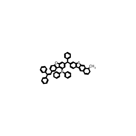 CC1CC=Cc2cc3c(cc21)sc1cc(C(c2ccccc2)c2cc(N(C4=CCCC=C4)c4ccccc4)c4c(c2)oc2ccc(C=C(c5ccccc5)c5ccccc5)cc24)ccc13